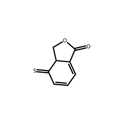 O=C1OCC2C(=S)C=CC=C12